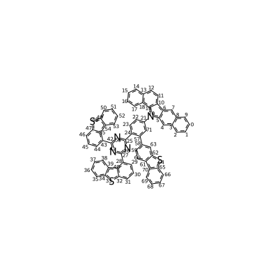 c1ccc2cc3c(cc2c1)c1ccc2ccccc2c1n3-c1ccc(-c2nc(-c3cccc4sc5ccccc5c34)nc(-c3cccc4sc5ccccc5c34)n2)c(-c2ccc3c(c2)sc2ccccc23)c1